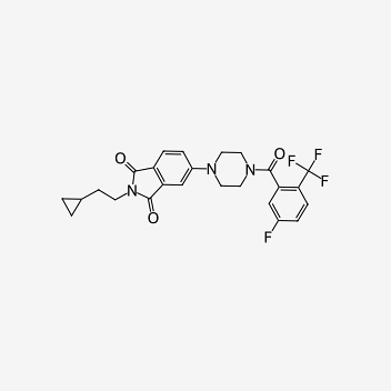 O=C(c1cc(F)ccc1C(F)(F)F)N1CCN(c2ccc3c(c2)C(=O)N(CCC2CC2)C3=O)CC1